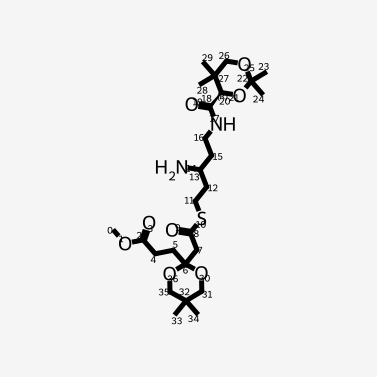 COC(=O)CCC1(CC(=O)SCCC(N)CCNC(=O)[C@@H]2OC(C)(C)OCC2(C)C)OCC(C)(C)CO1